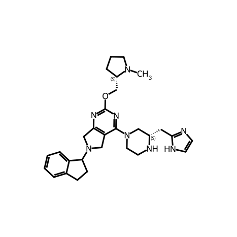 CN1CCC[C@H]1COc1nc2c(c(N3CCN[C@@H](Cc4ncc[nH]4)C3)n1)CN(C1CCc3ccccc31)C2